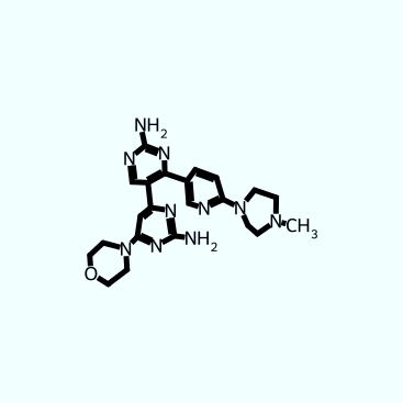 CN1CCN(c2ccc(-c3nc(N)ncc3-c3cc(N4CCOCC4)nc(N)n3)cn2)CC1